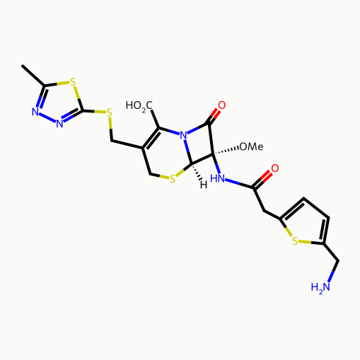 CO[C@@]1(NC(=O)Cc2ccc(CN)s2)C(=O)N2C(C(=O)O)=C(CSc3nnc(C)s3)CS[C@@H]21